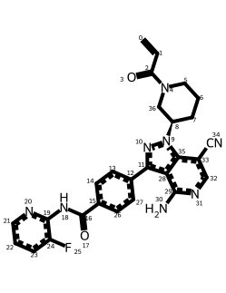 C=CC(=O)N1CCC[C@@H](n2nc(-c3ccc(C(=O)Nc4ncccc4F)cc3)c3c(N)ncc(C#N)c32)C1